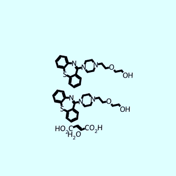 O.O=C(O)/C=C/C(=O)O.OCCOCCN1CCN(C2=Nc3ccccc3Sc3ccccc32)CC1.OCCOCCN1CCN(C2=Nc3ccccc3Sc3ccccc32)CC1